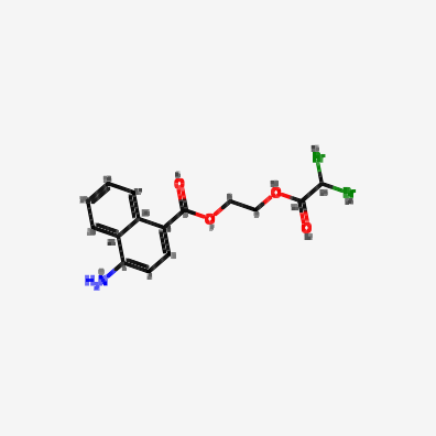 Nc1ccc(C(=O)OCCOC(=O)C(Br)Br)c2ccccc12